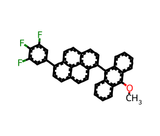 COc1c2ccccc2c(-c2ccc3ccc4c(-c5cc(F)c(F)c(F)c5)ccc5ccc2c3c54)c2ccccc12